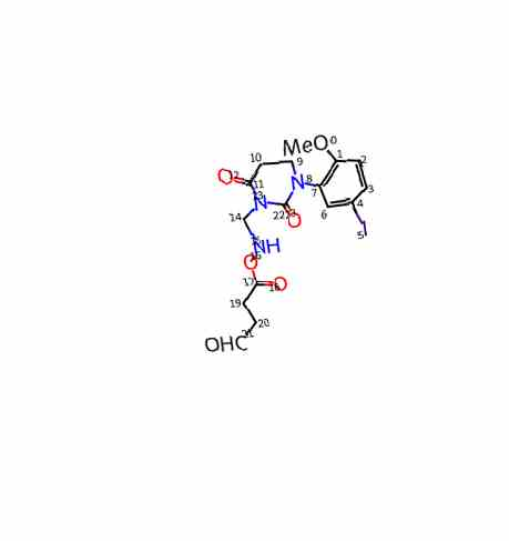 COc1ccc(I)cc1N1CCC(=O)N(CNOC(=O)CCC=O)C1=O